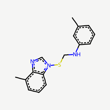 Cc1cccc(NCSn2cnc3c(C)cccc32)c1